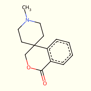 CN1CCC2(CC1)COC(=O)c1ccccc12